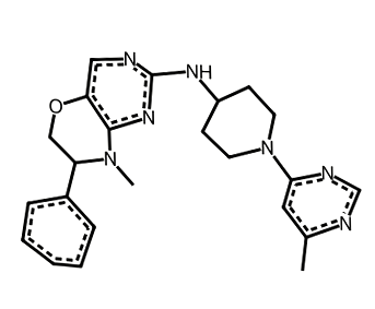 Cc1cc(N2CCC(Nc3ncc4c(n3)N(C)C(c3ccccc3)CO4)CC2)ncn1